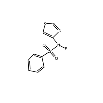 O=S(=O)(c1ccccc1)N(F)c1cscn1